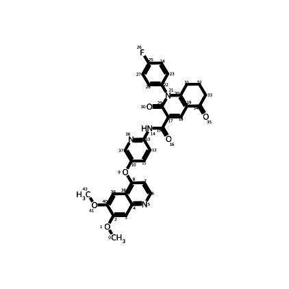 COc1cc2nccc(Oc3ccc(NC(=O)c4cc5c(n(-c6ccc(F)cc6)c4=O)CCCC5=O)nc3)c2cc1OC